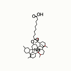 CC1CCC(C(C)C)C(C2(C3CC(C)CCC3C(C)C)CC(OC(=O)CCCCCCCCC(=O)O)CC(C3CC(C)CCC3C(C)C)(C3CC(C)CCC3C(C)C)N2)C1